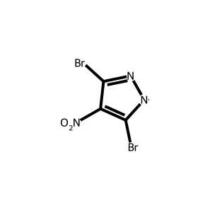 O=[N+]([O-])C1=C(Br)[N]N=C1Br